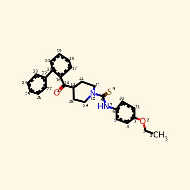 CCOc1ccc(NC(=S)N2CCC(C(=O)c3ccccc3-c3ccccc3)CC2)cc1